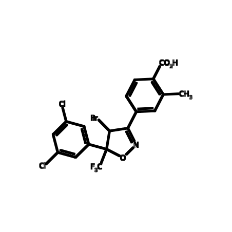 Cc1cc(C2=NOC(c3cc(Cl)cc(Cl)c3)(C(F)(F)F)C2Br)ccc1C(=O)O